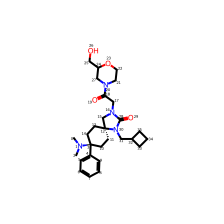 CN(C)[C@]1(c2ccccc2)CC[C@]2(CC1)CN(CC(=O)N1CCOC(CO)C1)C(=O)N2CC1CCC1